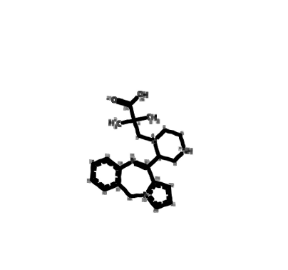 CC(C)(CN1CCNCC1C1=Nc2ccccc2Cn2cccc21)C(=O)O